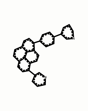 c1cncc(-c2ccc(-c3ccc4ccc5ccc(-c6cccnc6)c6ccc3c4c56)cc2)c1